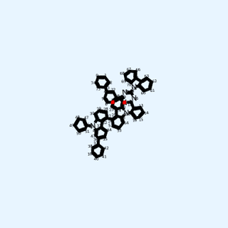 c1ccc(-c2cccc(-c3nc(-c4ccccc4-n4c5ccccc5c5c(-c6cccc7c6c6ccc(-c8ccccc8)cc6n7-c6ccccc6)cccc54)nc(-n4c5ccccc5c5ccccc54)n3)c2)cc1